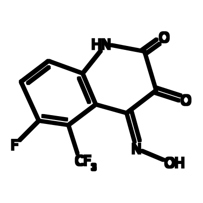 O=C1Nc2ccc(F)c(C(F)(F)F)c2C(=NO)C1=O